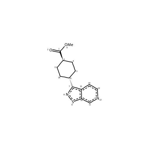 COC(=O)[C@H]1CC[C@H](c2nsc3cnccc32)CC1